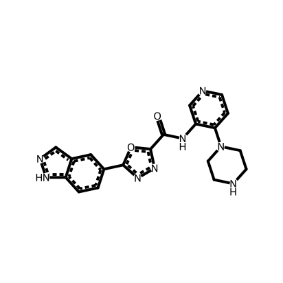 O=C(Nc1cnccc1N1CCNCC1)c1nnc(-c2ccc3[nH]ncc3c2)o1